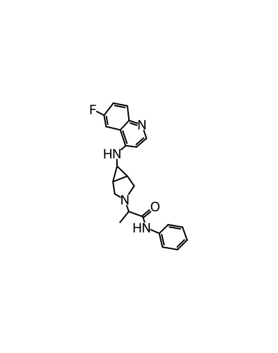 CC(C(=O)Nc1ccccc1)N1CC2C(C1)C2Nc1ccnc2ccc(F)cc12